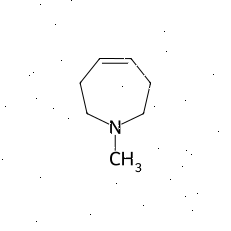 CN1CCC=CCC1